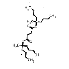 CCCCC(C)(CCCC)OC(=O)CCC(=O)OC(C)(CCCC)CCCC